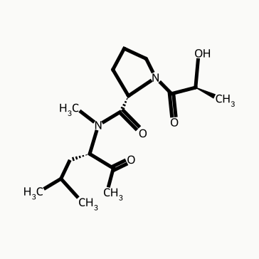 CC(=O)[C@H](CC(C)C)N(C)C(=O)[C@@H]1CCCN1C(=O)[C@H](C)O